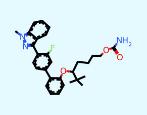 Cn1nc(-c2ccc(-c3ccccc3OC(CCCCOC(N)=O)C(C)(C)C)cc2F)c2ccccc21